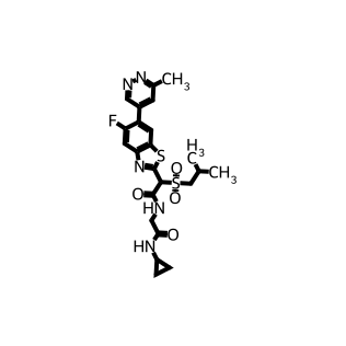 Cc1cc(-c2cc3sc(C(C(=O)NCC(=O)NC4CC4)S(=O)(=O)CC(C)C)nc3cc2F)cnn1